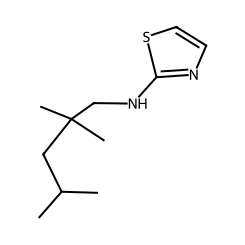 CC(C)CC(C)(C)CNc1nccs1